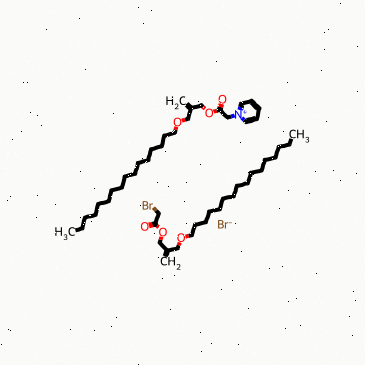 C=C(COCCCCCCCCCCCCCCCC)COC(=O)CBr.C=C(COCCCCCCCCCCCCCCCC)COC(=O)C[n+]1ccccc1.[Br-]